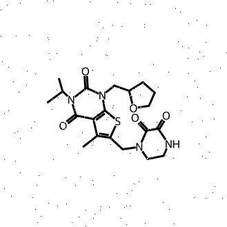 Cc1c(CN2CCNC(=O)C2=O)sc2c1c(=O)n(C(C)C)c(=O)n2CC1CCCO1